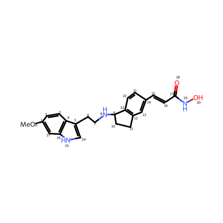 COc1ccc2c(CCNC3CCc4cc(C=CC(=O)NO)ccc43)c[nH]c2c1